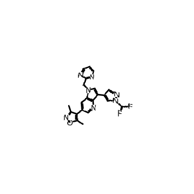 Cc1noc(C)c1-c1cnc2c(-c3cnn(C(F)F)c3)cn(Cc3ncccn3)c2c1